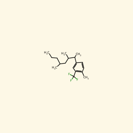 CCCC(C)CC(C)C(C)c1ccc(C)c(C(F)(F)F)c1